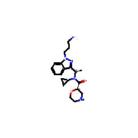 C[C@H](c1nn(CCCN)c2ccccc12)N(C(=O)[C@H]1CNCCO1)C1CC1